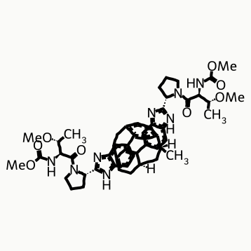 COC(=O)N[C@H](C(=O)N1CCC[C@H]1c1nc2cc(C3=CC4=CC[C@@H]3C[C@@H](C)c3ccc(c(-c5ccc6[nH]c([C@@H]7CCCN7C(=O)[C@@H](NC(=O)OC)[C@@H](C)OC)nc6c5)c3)CC4)ccc2[nH]1)[C@@H](C)OC